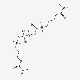 C=C(C)C(=O)OCCC[Si](C)(C)OC(CC)(CC)[Si](C)(C)OC(CC)[Si](C)(C)CCCOC(=O)C(=C)C